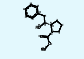 CC(C)(C)OC(=O)N1CCC[C@H]1C(O)Cc1ccccc1